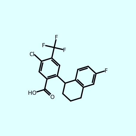 O=C(O)c1cc(Cl)c(C(F)(F)F)cc1C1CCCc2cc(F)ccc21